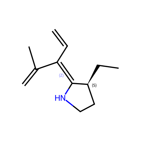 C=C/C(C(=C)C)=C1/NCC[C@@H]1CC